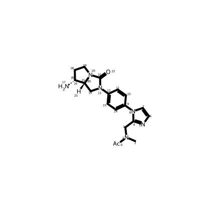 CC(=O)N(C)Cc1nccn1-c1ccc(N2C[C@@H]3[C@H](N)CCN3C2=O)cc1